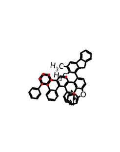 Cc1cc2c(c(-c3ccc4oc5ccccc5c4c3-c3ccc(-c4ccccc4)c(-c4ccccc4-c4ccccc4-c4ccccc4)c3-c3ccnnn3)c1C)Cc1ccccc1-2